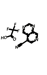 N#Cc1cncc2ncncc12.O=C(O)C(F)(F)F